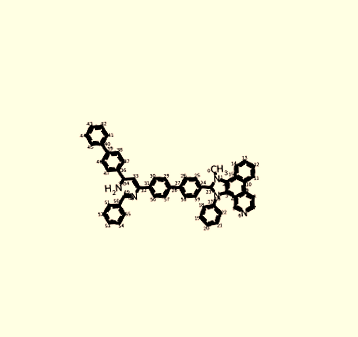 CN1c2c(c3cnccc3c3ccccc23)N(c2ccccc2)C1c1ccc(-c2ccc(C(=C/C(N)c3ccc(-c4ccccc4)cc3)/N=C/c3ccccc3)cc2)cc1